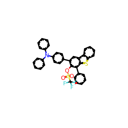 O=S(=O)(Oc1c(-c2ccc(N(c3ccccc3)c3ccccc3)cc2)cc2c(sc3ccccc32)c1-c1ccccc1)C(F)(F)F